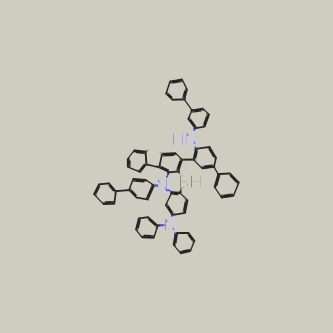 B1c2ccc(N(c3ccccc3)c3ccccc3)cc2N(c2ccc(-c3ccccc3)cc2)c2c1c(-c1cc(-c3ccccc3)ccc1Nc1cccc(-c3ccccc3)c1)cc1sc3ccccc3c21